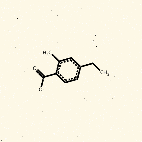 CCc1ccc(C([O])=O)c(C)c1